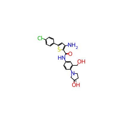 Nc1cc(-c2ccc(Cl)cc2)sc1C(=O)Nc1ccc(N2CC[C@@H](O)C2)c(CO)c1